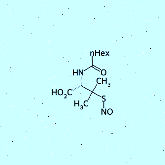 CCCCCCC(=O)N[C@@H](C(=O)O)C(C)(C)SN=O